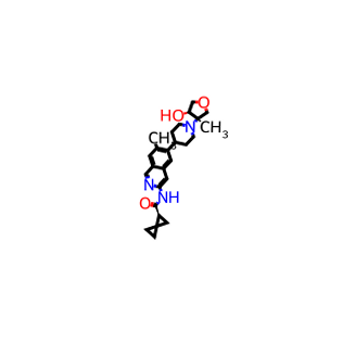 Cc1cc2cnc(NC(=O)[C@H]3CC34CC4)cc2cc1C1CCN([C@]2(C)COC[C@@H]2O)CC1